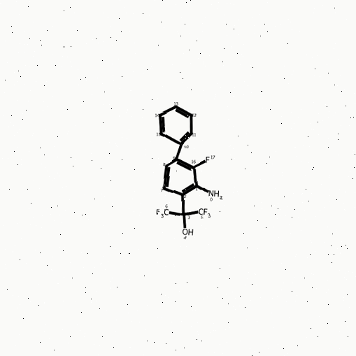 Nc1c(C(O)(C(F)(F)F)C(F)(F)F)ccc(-c2ccccc2)c1F